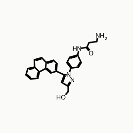 NCCC(=O)Nc1ccc(-n2nc(CO)cc2-c2ccc3ccc4ccccc4c3c2)cc1